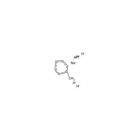 Cc1ccccc1.[Al+3].[H-].[H-].[H-].[H-].[Na+]